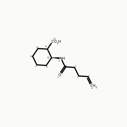 C=CCCC(=O)N[C@H]1CCCCC1C(=O)O